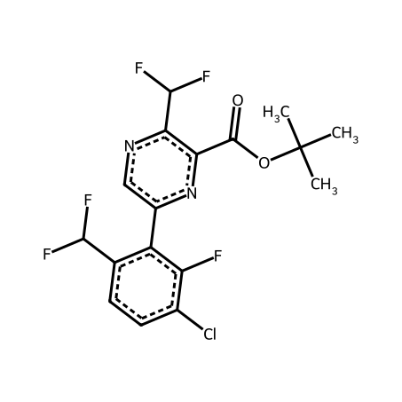 CC(C)(C)OC(=O)c1nc(-c2c(C(F)F)ccc(Cl)c2F)cnc1C(F)F